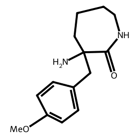 COc1ccc(CC2(N)CCCCNC2=O)cc1